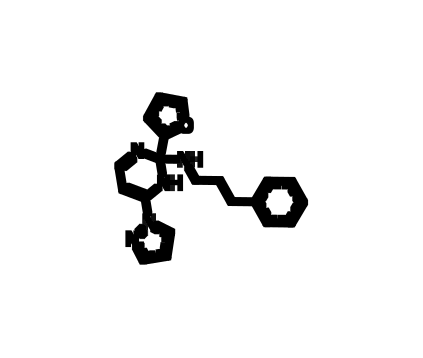 C1=NC(NCCCc2ccccc2)(c2ccco2)NC(n2cccn2)=C1